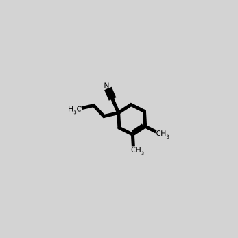 CCCC1(C#N)CCC(C)=C(C)C1